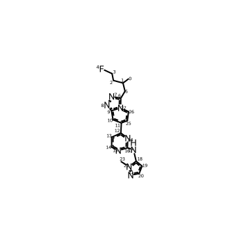 CC(CCF)Cc1nnc2cc(-c3ccnc(Nc4ccnn4C)n3)ccn12